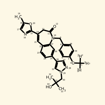 [2H]C([2H])([2H])Oc1ccc(CN2C(=O)CC(c3ncc(C)o3)=Cc3ccc(-c4cnn(CC(C)(C)O)c4)cc32)cc1